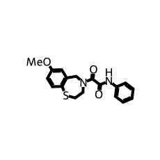 COc1ccc2c(c1)CN(C(=O)C(=O)Nc1ccccc1)CCS2